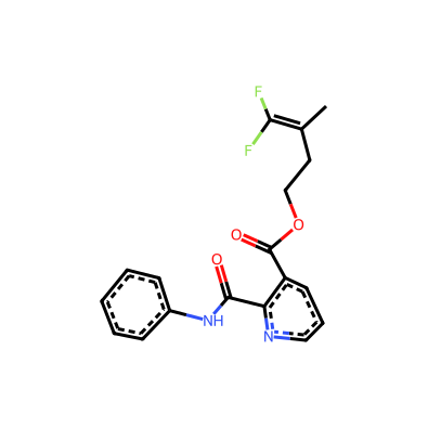 CC(CCOC(=O)c1cccnc1C(=O)Nc1ccccc1)=C(F)F